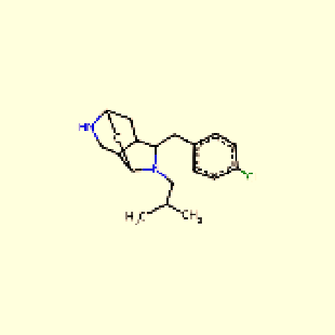 CC(C)CN1C(Cc2ccc(Cl)cc2)C2CC3CC1C2CN3